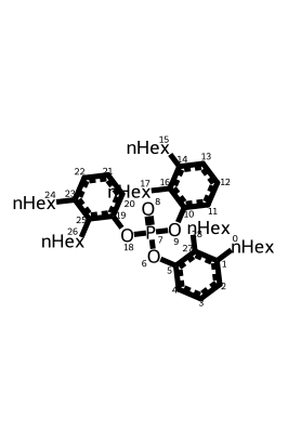 CCCCCCc1cccc(OP(=O)(Oc2cccc(CCCCCC)c2CCCCCC)Oc2cccc(CCCCCC)c2CCCCCC)c1CCCCCC